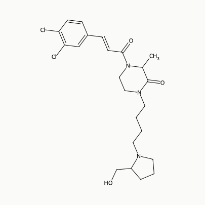 CC1C(=O)N(CCCCN2CCCC2CO)CCN1C(=O)C=Cc1ccc(Cl)c(Cl)c1